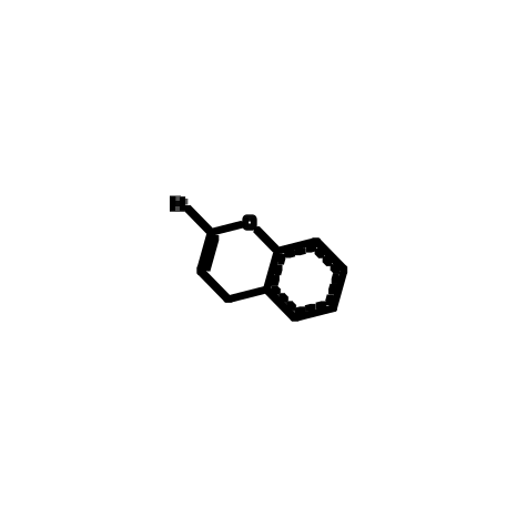 CCC1=CCc2ccccc2O1